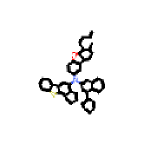 C=C/C=C\c1c(C)ccc2c1oc1ccc(N(c3cc(-c4ccccc4)c4ccccc4c3)c3cc4c5ccccc5sc4c4ccccc34)cc12